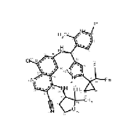 Cc1nc(F)ccc1[C@H](Nc1cc(Cl)c2ncc(C#N)c(N[C@@H]3CCOC3(C)C)c2c1)c1cn(C2(C(F)F)CC2)nn1